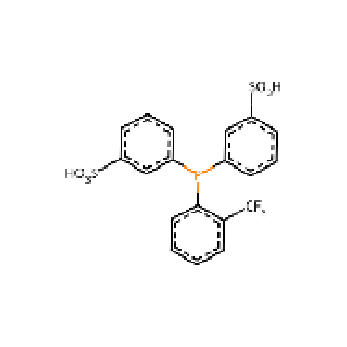 O=S(=O)(O)c1cccc(P(c2cccc(S(=O)(=O)O)c2)c2ccccc2C(F)(F)F)c1